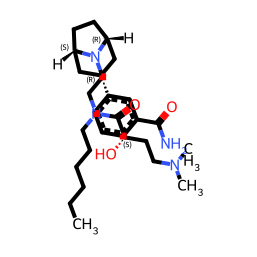 CCCCCCN(CCN1[C@@H]2CC[C@H]1C[C@@H](c1cccc(C(N)=O)c1)C2)C(=O)[C@@H](O)CCN(C)C